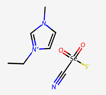 CC[n+]1ccn(C)c1.N#C[Se](=O)(=O)[S-]